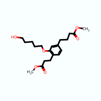 COC(=O)CCCc1ccc(CCC(=O)OC)c(OCCCCCO)c1